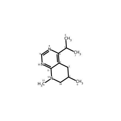 CC1Cc2c(C(C)C)ncnc2N(C)C1